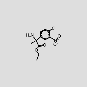 CCOC(=O)[C@](C)(N)c1ccc(Cl)c([N+](=O)[O-])c1